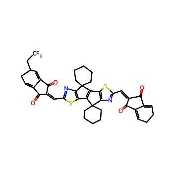 O=C1C(=Cc2nc3c(s2)C2=C(c4sc(/C=C5/C(=O)C6=CCC(CC(F)(F)F)C=C6C5=O)nc4C24CCCCC4)C32CCCCC2)C(=O)C2=CCCC=C12